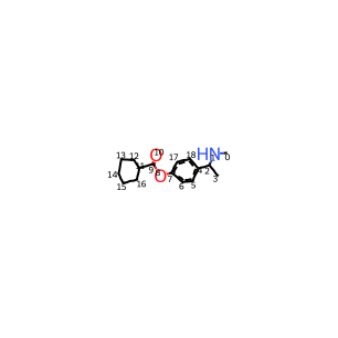 CNC(C)c1ccc(OC(=O)C2CCCCC2)cc1